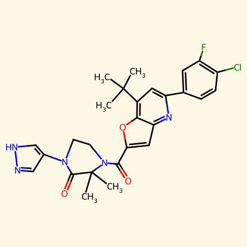 CC(C)(C)c1cc(-c2ccc(Cl)c(F)c2)nc2cc(C(=O)N3CCN(c4cn[nH]c4)C(=O)C3(C)C)oc12